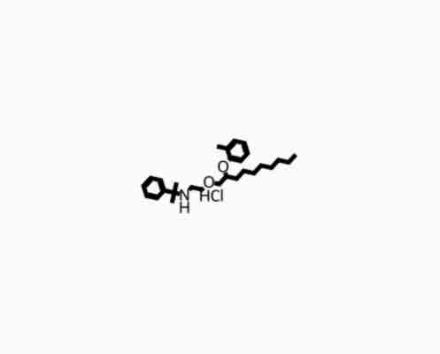 CCCCCCCCC(COCCNC(C)(C)c1ccccc1)Oc1ccccc1C.Cl